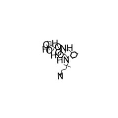 CC(C)(CCC#N)CNC[C@@H](O)C(Cc1ccccc1)NC(=O)O[C@H]1CO[C@H]2OCC[C@H]21